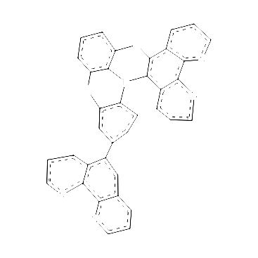 c1cc2c3c(c1)Sc1c(c4cccnc4c4ncccc14)B3c1ccc(-c3cc4cccnc4c4ncccc34)cc1S2